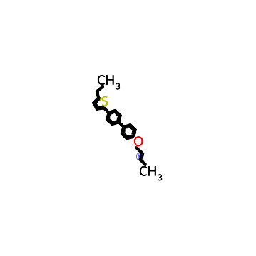 CC/C=C/COc1ccc(-c2ccc(-c3ccc(CCC)s3)cc2)cc1